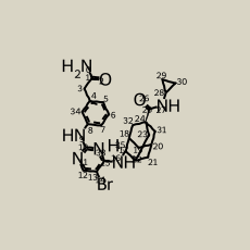 NC(=O)Cc1cccc(Nc2ncc(Br)c(N[C@H]3C4CC5CC3C[C@@](C(=O)NC3CC3)(C5)C4)n2)c1